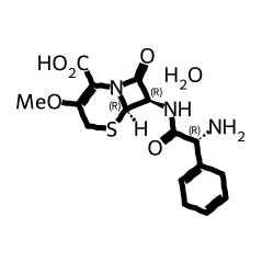 COC1=C(C(=O)O)N2C(=O)[C@@H](NC(=O)[C@H](N)C3=CCC=CC3)[C@H]2SC1.O